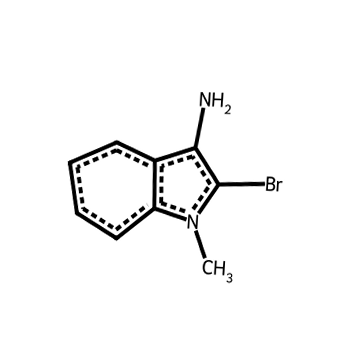 Cn1c(Br)c(N)c2ccccc21